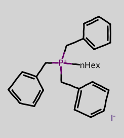 CCCCCC[P+](Cc1ccccc1)(Cc1ccccc1)Cc1ccccc1.[I-]